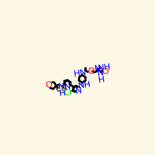 CC(COCc1n[nH]c(=O)[nH]1)N[C@H]1CC[C@H](Nc2cc(-c3cccc(NCC4(C#N)CCOCC4)n3)c(Cl)cn2)CC1